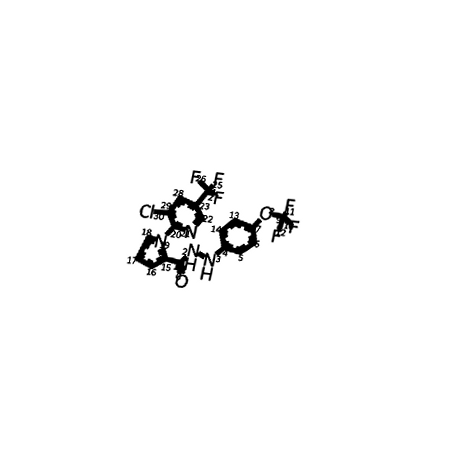 O=C(NNc1ccc(OC(F)(F)F)cc1)c1cccn1-c1ncc(C(F)(F)F)cc1Cl